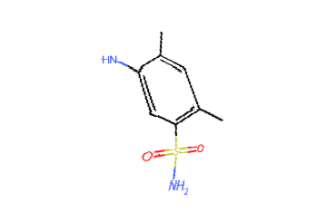 Cc1cc(C)c(S(N)(=O)=O)cc1[NH]